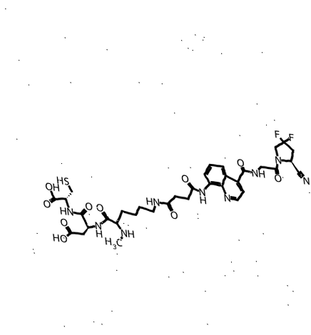 CNC(CCCCNC(=O)CCC(=O)Nc1cccc2c(C(=O)NCC(=O)N3CC(F)(F)C[C@H]3C#N)ccnc12)C(=O)N[C@@H](CC(=O)O)C(=O)N[C@@H](CS)C(=O)O